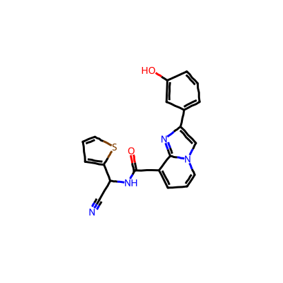 N#CC(NC(=O)c1cccn2cc(-c3cccc(O)c3)nc12)c1cccs1